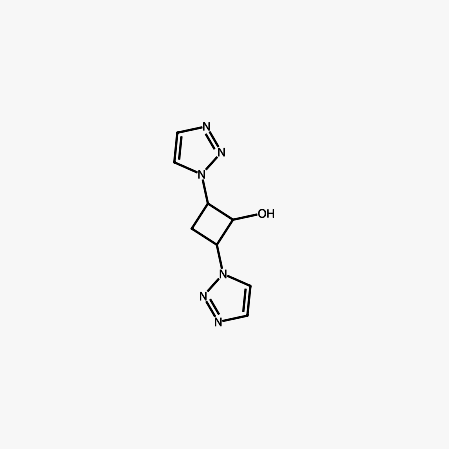 OC1C(n2ccnn2)CC1n1ccnn1